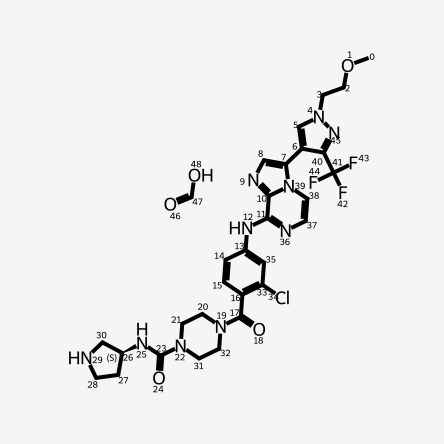 COCCn1cc(-c2cnc3c(Nc4ccc(C(=O)N5CCN(C(=O)N[C@H]6CCNC6)CC5)c(Cl)c4)nccn23)c(C(F)(F)F)n1.O=CO